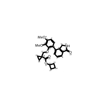 COc1ccc(-c2cccc3c2CNC3=O)c(OCC2(C(=O)OC3CCC3)CC2)c1OC